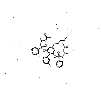 CCCCCc1cc(OP(=O)(OC(C)OC(C)=O)c2ccccc2)c(-c2cccc(C)c2)c(OP(=O)(OC(C)OC(C)=O)c2ccccc2)c1